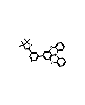 CC1(C)N=C(c2cncc(-c3cc4c5c(c3)Oc3ccccc3B5c3ccccc3O4)c2)OC1(C)C